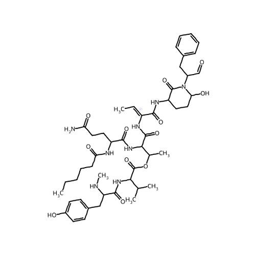 C/C=C(\NC(=O)C(NC(=O)C(CCC(N)=O)NC(=O)CCCCC)C(C)OC(=O)C(NC(=O)C(Cc1ccc(O)cc1)NC)C(C)C)C(=O)NC1CCC(O)N(C(C=O)Cc2ccccc2)C1=O